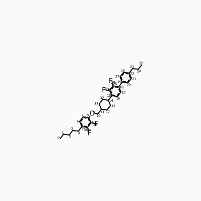 CCCCCc1ccc(OCC2CCC(c3ccc(-c4ccc(CCC)cc4)c(F)c3F)CC2)c(F)c1F